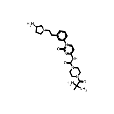 CC(N)(N)C(=O)N1CCN(C(=O)Nc2ccn(-c3cccc(CCN4CC[C@@H](N)C4)c3)c(=O)n2)CC1